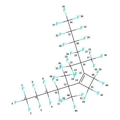 FC(F)(F)C(F)(F)C(F)(F)C(F)(F)C(C1=C(C(C(F)(F)F)(C(F)(F)F)C(F)(F)C(F)(F)C(F)(F)C(F)(F)F)C(F)(F)C1(F)F)(C(F)(F)F)C(F)(F)F